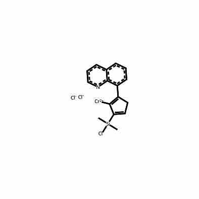 C[Si](C)(Cl)C1=CCC(c2cccc3cccnc23)=[C]1[Cr+2].[Cl-].[Cl-]